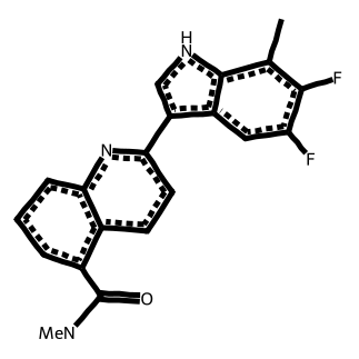 CNC(=O)c1cccc2nc(-c3c[nH]c4c(C)c(F)c(F)cc34)ccc12